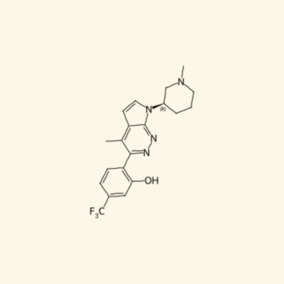 Cc1c(-c2ccc(C(F)(F)F)cc2O)nnc2c1ccn2[C@@H]1CCCN(C)C1